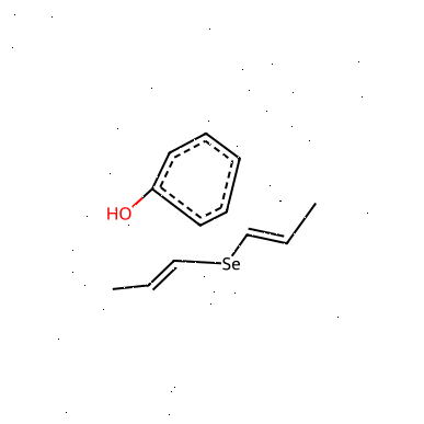 CC=C[Se]C=CC.Oc1ccccc1